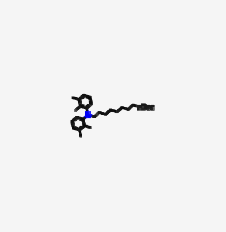 CCCCCCCCCCCCCCCCCCN(c1cccc(C)c1C)c1cccc(C)c1C